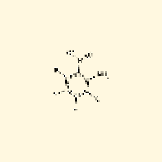 Nc1c(Cl)c(F)c(F)c(F)c1[N+](=O)[O-]